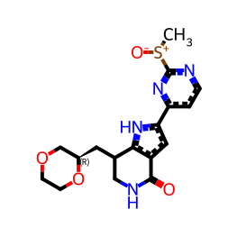 C[S+]([O-])c1nccc(-c2cc3c([nH]2)C(C[C@@H]2COCCO2)CNC3=O)n1